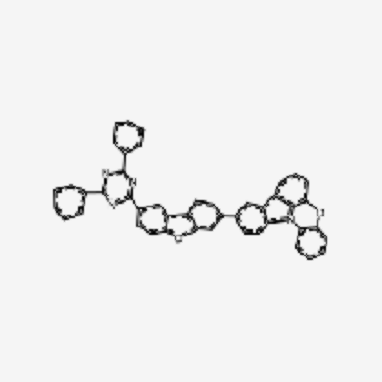 c1ccc(-c2nc(-c3ccccc3)nc(-c3ccc4oc5cc(-c6ccc7c(c6)c6cccc8c6n7-c6ccccc6O8)ccc5c4c3)n2)cc1